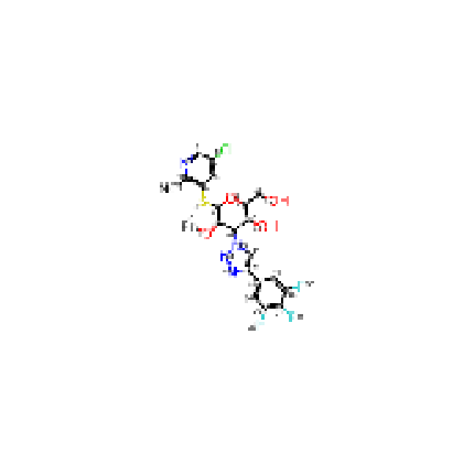 CCOC1C(Sc2cc(Cl)cnc2C#N)OC(CO)C(O)C1n1cc(-c2cc(F)c(F)c(F)c2)nn1